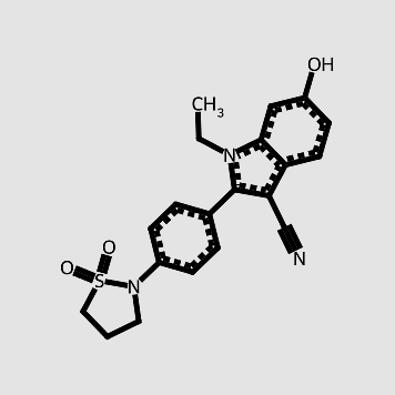 CCn1c(-c2ccc(N3CCCS3(=O)=O)cc2)c(C#N)c2ccc(O)cc21